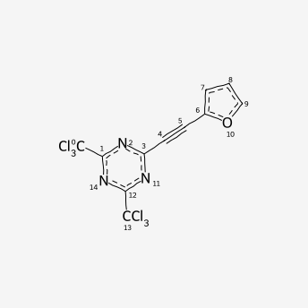 ClC(Cl)(Cl)c1nc(C#Cc2ccco2)nc(C(Cl)(Cl)Cl)n1